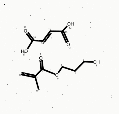 C=C(C)C(=O)OCCCO.O=C(O)C=CC(=O)O